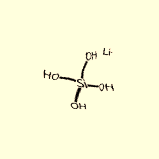 O[Si](O)(O)O.[Li]